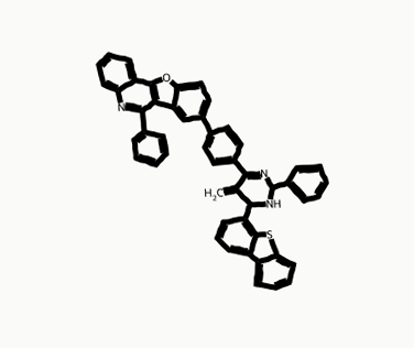 C=C1C(c2ccc(-c3ccc4oc5c6ccccc6nc(-c6ccccc6)c5c4c3)cc2)=NC(c2ccccc2)NC1c1cccc2c1sc1ccccc12